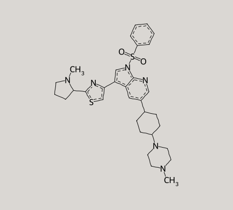 CN1CCN(C2CCC(c3cnc4c(c3)c(-c3csc(C5CCCN5C)n3)cn4S(=O)(=O)c3ccccc3)CC2)CC1